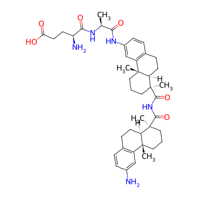 C[C@H](NC(=O)[C@@H](N)CCC(=O)O)C(=O)Nc1ccc2c(c1)[C@@]1(C)CCC[C@](C)(C(=O)NC(=O)[C@@]3(C)CCC[C@]4(C)c5cc(N)ccc5CC[C@@H]34)[C@@H]1CC2